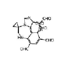 O=CC1=CC(C=O)=C2NCC3(CC3)N3C=NC4(C=O)C(C=O)=NC1(C=O)C2=C34